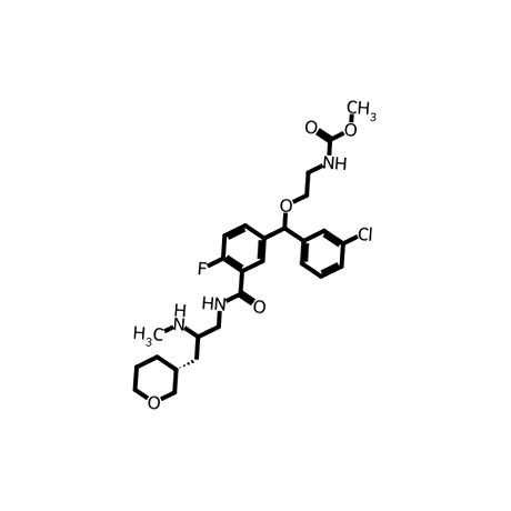 CNC(CNC(=O)c1cc(C(OCCNC(=O)OC)c2cccc(Cl)c2)ccc1F)C[C@H]1CCCOC1